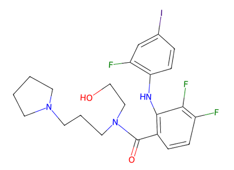 O=C(c1ccc(F)c(F)c1Nc1ccc(I)cc1F)N(CCO)CCCN1CCCC1